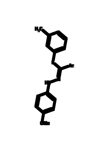 COc1ccc(NN=C(Sc2cccc(C)c2)C(C)=O)cc1